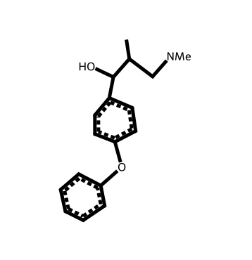 CNCC(C)C(O)c1ccc(Oc2ccccc2)cc1